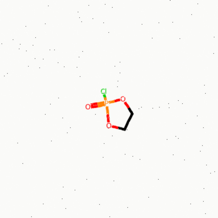 O=P1(Cl)OCCO1